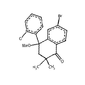 COC1(c2cccc[n+]2[O-])CC(C)(C)C(=O)c2ccc(Br)cc21